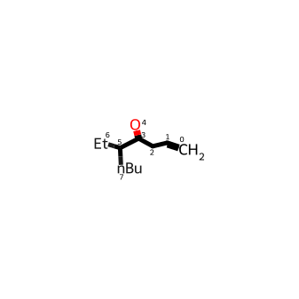 C=CCC(=O)C(CC)CCCC